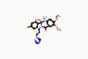 COc1cc2c(cc1OC)N(C)C(O)(c1ccc(F)cc1F)N(CCCn1cncn1)C2=O